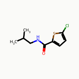 CC(C)CNC(=O)c1ccc(Cl)s1